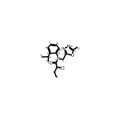 CCC(Cl)C(=O)N(Cc1nnc(C)o1)c1ccccc1C(C)C